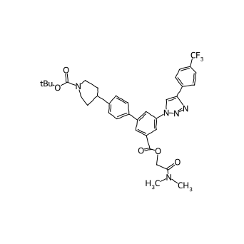 CN(C)C(=O)COC(=O)c1cc(-c2ccc(C3CCN(C(=O)OC(C)(C)C)CC3)cc2)cc(-n2cc(-c3ccc(C(F)(F)F)cc3)nn2)c1